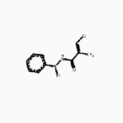 CCC=C(C)C(=O)NN(CC)c1ccccc1